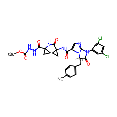 CC(C)(C)OC(=O)NNC(=O)C1(NC(=O)C2(NC(=O)c3cnc4n3[C@](C)(Cc3ccc(C#N)cc3)C(=O)N4c3cc(Cl)cc(Cl)c3)CC2)CC1